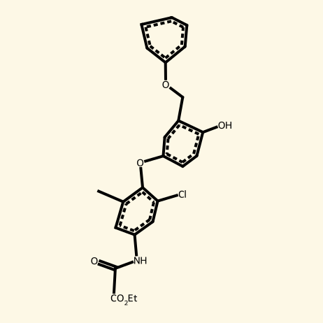 CCOC(=O)C(=O)Nc1cc(C)c(Oc2ccc(O)c(COc3ccccc3)c2)c(Cl)c1